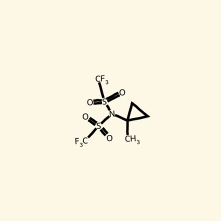 CC1(N(S(=O)(=O)C(F)(F)F)S(=O)(=O)C(F)(F)F)CC1